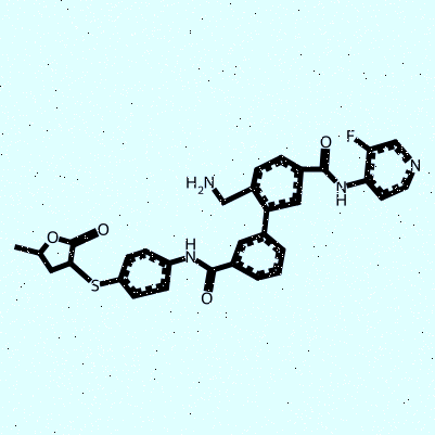 CC1CC(Sc2ccc(NC(=O)c3cccc(-c4cc(C(=O)Nc5ccncc5F)ccc4CN)c3)cc2)C(=O)O1